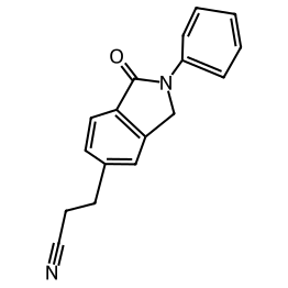 N#CCCc1ccc2c(c1)CN(c1ccccc1)C2=O